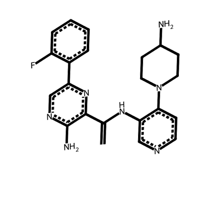 C=C(Nc1cnccc1N1CCC(N)CC1)c1nc(-c2ccccc2F)cnc1N